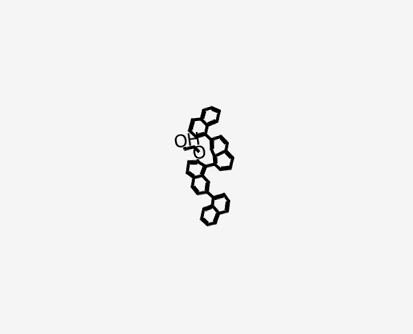 OCCOc1ccc2ccc(-c3cccc4ccccc34)cc2c1-c1cccc2ccc(-c3cccc4ccccc34)cc12